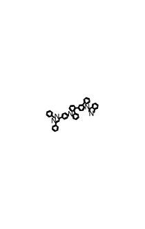 c1ccc(-c2cc(-c3ccc(-n4c5ccccc5c5c(-c6ccc7c(c6)c6ccccc6n7-c6cncc7ccccc67)cccc54)cc3)nc(-c3ccccc3)n2)cc1